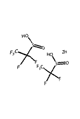 O=S(O)C(F)(F)C(F)(F)F.O=S(O)C(F)(F)C(F)(F)F.[Zn]